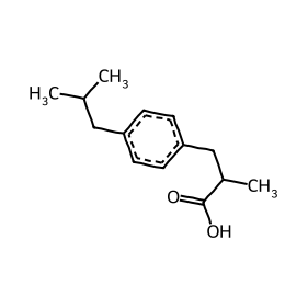 CC(C)Cc1ccc(CC(C)C(=O)O)cc1